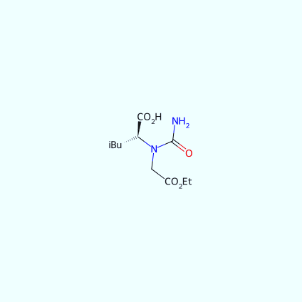 CCOC(=O)CN(C(N)=O)[C@H](C(=O)O)[C@@H](C)CC